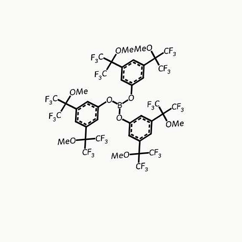 COC(c1cc(OB(Oc2cc(C(OC)(C(F)(F)F)C(F)(F)F)cc(C(OC)(C(F)(F)F)C(F)(F)F)c2)Oc2cc(C(OC)(C(F)(F)F)C(F)(F)F)cc(C(OC)(C(F)(F)F)C(F)(F)F)c2)cc(C(OC)(C(F)(F)F)C(F)(F)F)c1)(C(F)(F)F)C(F)(F)F